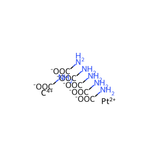 NC(=O)[O-].NC(=O)[O-].NC(=O)[O-].NC(=O)[O-].NC(=O)[O-].NC(=O)[O-].[C+4].[Pt+2]